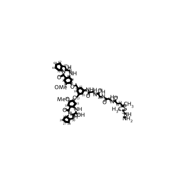 COc1cc2c(cc1OCc1cc(COc3cc4c(cc3OC)C(=O)N3c5ccccc5C[C@H]3C(O)N4)cc(NC(=O)CNC(=O)CNC(=O)CNC(=O)CCC(C)(C)SSNN)c1)NC[C@@H]1Cc3ccccc3N1C2=O